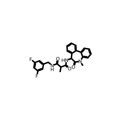 CC(C(=O)NCc1cc(F)cc(F)c1)C(=O)NC1C(=O)N(C)c2ccccc2-c2ccccc21